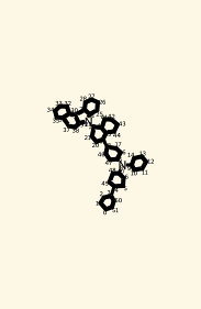 c1ccc(-c2ccc(N(c3ccccc3)c3ccc(-c4ccc(-n5c6ccccc6c6c7ccccc7ccc65)c5ccccc45)cc3)cc2)cc1